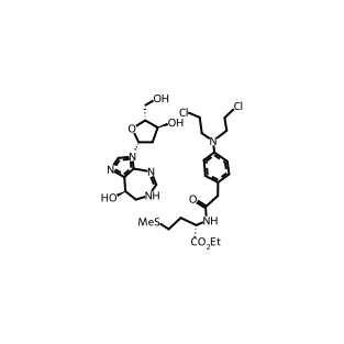 CCOC(=O)[C@H](CCSC)NC(=O)Cc1ccc(N(CCCl)CCCl)cc1.OC[C@H]1O[C@@H](n2cnc3c2N=CNC[C@H]3O)C[C@@H]1O